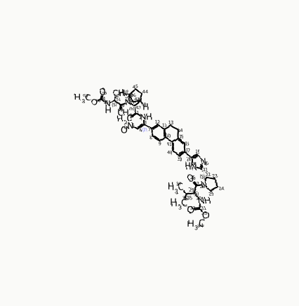 C=C(N/C(=C\N=O)c1ccc2c(c1)CCc1cc(-c3cnc([C@@H]4CCCN4C(=O)[C@@H](NC(=O)OC)C(C)C)[nH]3)ccc1-2)[C@@H]1[C@H]2CC[C@H](C2)N1C(=C)[C@H](C)NC(=O)OC